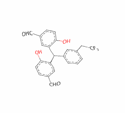 O=Cc1ccc(O)c(C(c2cccc(CC(F)(F)F)c2)c2cc(C=O)ccc2O)c1